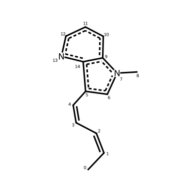 C/C=C\C=C/c1cn(C)c2cccnc12